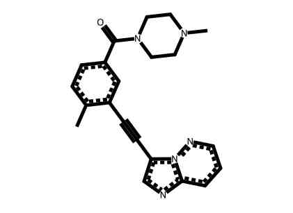 Cc1ccc(C(=O)N2CCN(C)CC2)cc1C#Cc1cnc2cccnn12